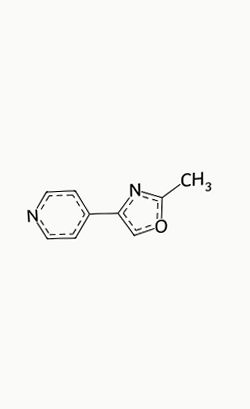 Cc1nc(-c2ccncc2)co1